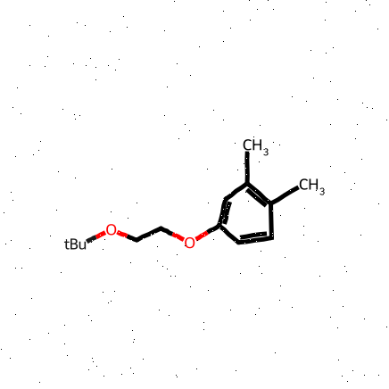 Cc1ccc(OCCOC(C)(C)C)cc1C